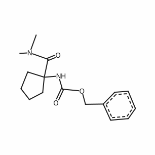 CN(C)C(=O)C1(NC(=O)OCc2ccccc2)CCCC1